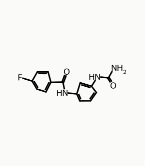 NC(=O)Nc1cccc(NC(=O)c2ccc(F)cc2)c1